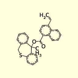 C=Cc1ccc(C(=O)OC2(C)c3ccccc3CSc3ccccc32)c2ccccc12